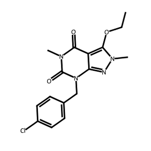 CCOc1c2c(=O)n(C)c(=O)n(Cc3ccc(Cl)cc3)c2nn1C